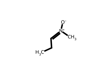 CC/C=[N+](\C)[O-]